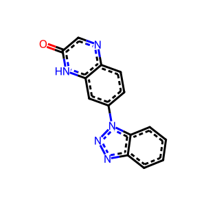 O=c1cnc2ccc(-n3nnc4ccccc43)cc2[nH]1